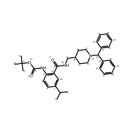 CC(C)c1ccc(NC(=O)OC(C)(C)C)c(C(=O)NCC2CCN(C(c3ccccc3)c3ccccc3)CC2)c1